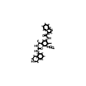 Cc1ccc([C@H](C)NC(=O)Nc2cccc3c2CCNC3)cc1NC(=O)c1cnc2ccccn12.Cl.Cl